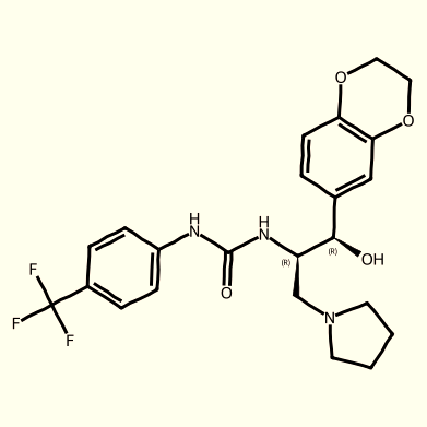 O=C(Nc1ccc(C(F)(F)F)cc1)N[C@H](CN1CCCC1)[C@H](O)c1ccc2c(c1)OCCO2